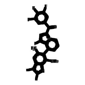 COc1c(-c2cccn3c(C(=O)c4cc(F)c(F)c(F)c4)cc(I)c23)c(C(F)(F)F)cc2c1nc(C)n2C